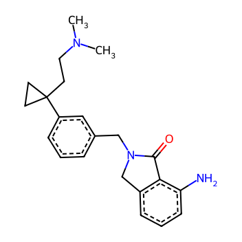 CN(C)CCC1(c2cccc(CN3Cc4cccc(N)c4C3=O)c2)CC1